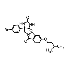 CC(C)CCOc1ccc2c(c1)CN(CC1(c3ccc(Br)cc3)NC(=O)NC1=O)C2=O